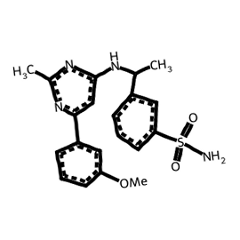 COc1cccc(-c2cc(NC(C)c3cccc(S(N)(=O)=O)c3)nc(C)n2)c1